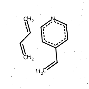 C=CC=C.C=Cc1ccncc1